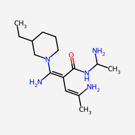 CCC1CCCN(/C(N)=C(/C=C(/C)N)C(=O)NC(C)N)C1